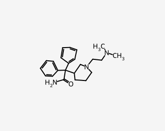 CN(C)CCN1CCCC(C(C(N)=O)(c2ccccc2)c2ccccc2)C1